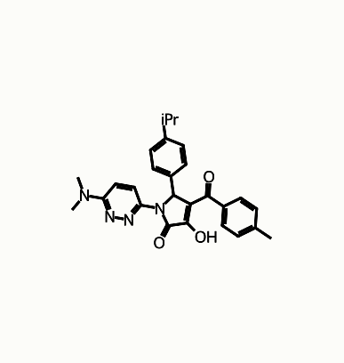 Cc1ccc(C(=O)C2=C(O)C(=O)N(c3ccc(N(C)C)nn3)C2c2ccc(C(C)C)cc2)cc1